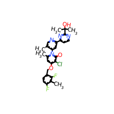 Cc1cnc(-c2ccnc(C(C)(C)O)n2)cc1-n1c(C)cc(OCc2ccc(F)c(C)c2F)c(Cl)c1=O